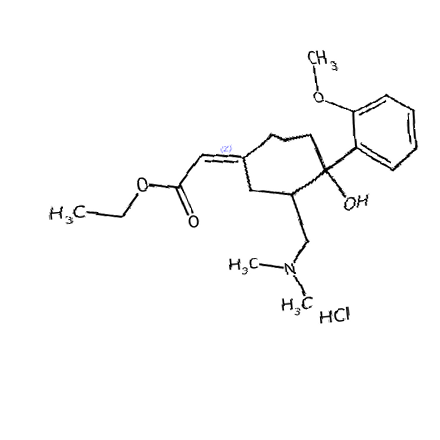 CCOC(=O)/C=C1/CCC(O)(c2ccccc2OC)C(CN(C)C)C1.Cl